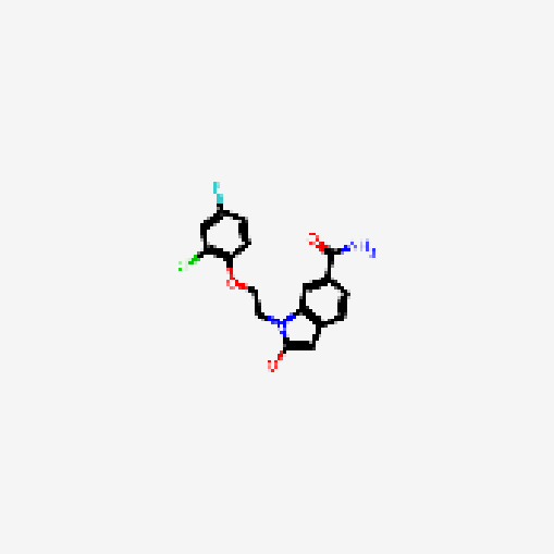 NC(=O)c1ccc2cc(O)n(CCOc3ccc(F)cc3Cl)c2c1